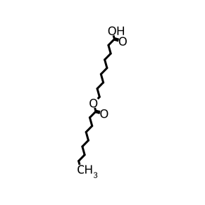 CCCCCCCCC(=O)OCCCCCCCCC(=O)O